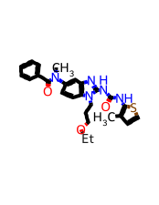 CCOCCCn1c(NC(=O)Nc2sccc2C)nc2cc(N(C)C(=O)c3ccccc3)ccc21